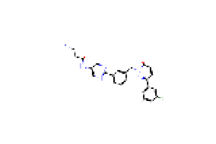 CN(C)CCC(=O)Nc1cnc(-c2cccc(Cn3nc(-c4cc(F)cc(F)c4)ccc3=O)c2)nc1